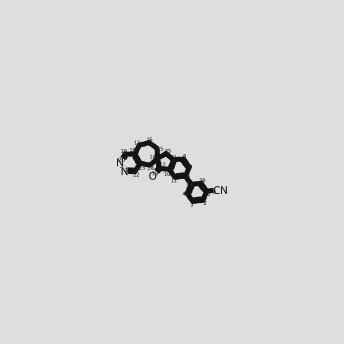 N#Cc1cccc(-c2ccc3c(c2)C(=O)C2(CCCc4cnncc4C2)C3)c1